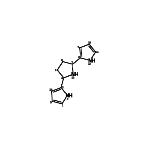 c1c[nH]c(C2CCC(c3ccc[nH]3)N2)c1